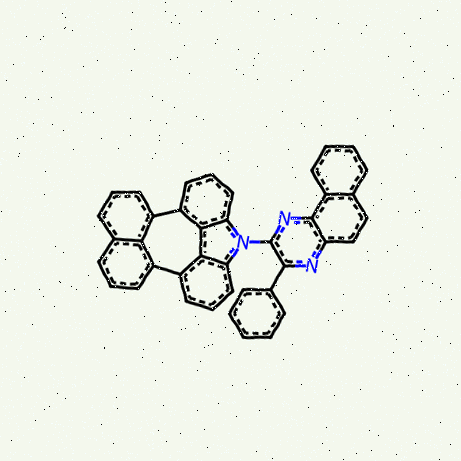 c1ccc(-c2nc3ccc4ccccc4c3nc2-n2c3cccc4c3c3c(cccc32)-c2cccc3cccc-4c23)cc1